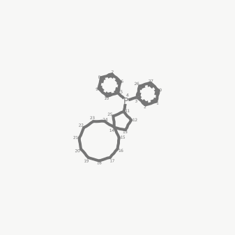 c1ccc(P(c2ccccc2)C2CCC3(CCCCCCCCCC3)C2)cc1